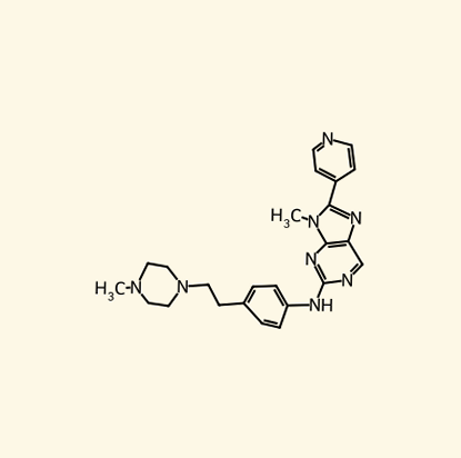 CN1CCN(CCc2ccc(Nc3ncc4nc(-c5ccncc5)n(C)c4n3)cc2)CC1